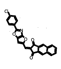 O=C1C(=Cc2cc3oc(-c4ccc(Cl)cc4)nc3o2)C(=O)c2cc3ccccc3cc21